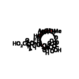 CO[C@H]1/C=C/O[C@@]2(C)Oc3c(C)c(O)c4c(c3C2=O)C(=O)C(N2CCC(N3CCN(c5c(F)cc6c(=O)c(C(=O)O)cn(C7CC7)c6c5CI)CC3)CC2)=C(NC(=O)/C(C)=C\C=C\[C@H](C)[C@H](O)[C@@H](C)[C@@H](O)[C@@H](C)[C@H](OC(C)=O)[C@@H]1C)C4=O